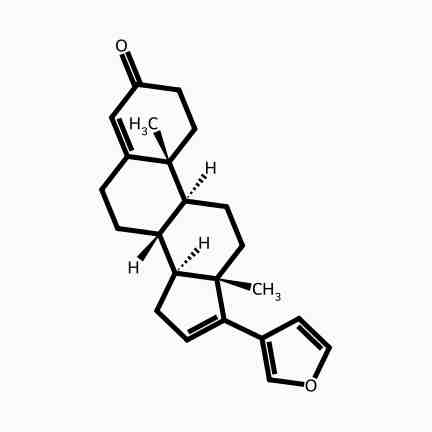 C[C@]12CCC(=O)C=C1CC[C@@H]1[C@@H]2CC[C@]2(C)C(c3ccoc3)=CC[C@@H]12